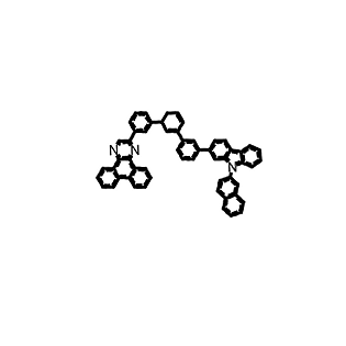 C1=CC(c2cccc(-c3ccc4c5ccccc5n(-c5ccc6ccccc6c5)c4c3)c2)=CC(c2cccc(-c3cnc4c5ccccc5c5ccccc5c4n3)c2)C1